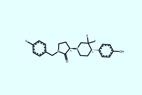 O=C1[C@H](N2CC[C@@H](c3ccc(O)cc3)C(F)(F)C2)CCN1Cc1ccc(F)cc1